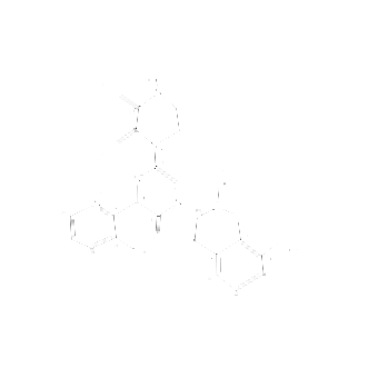 CCN1CCN(C(=O)NC(C(=O)N[C@H]2Cc3cccc(C(=O)O)c3OB2O)c2ncccc2F)C(=O)C1=O